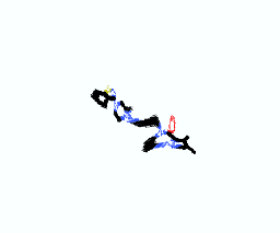 Cc1cn2c(c1C)C(=O)N(CCN1CCN(c3nsc4ccccc34)CC1)CC2